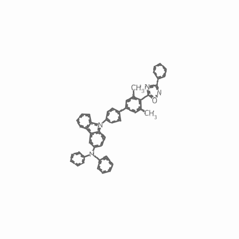 Cc1cc(-c2ccc(-n3c4ccccc4c4cc(N(c5ccccc5)c5ccccc5)ccc43)cc2)cc(C)c1-c1nc(-c2ccccc2)no1